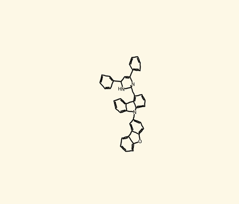 C1=C(c2ccccc2)N=C(c2cccc3c2c2ccccc2n3-c2ccc3oc4ccccc4c3c2)NC1c1ccccc1